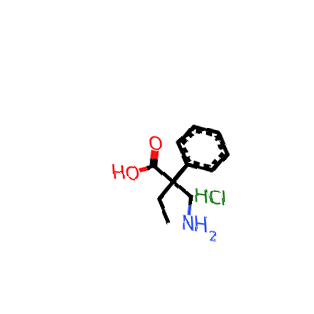 CCC(CN)(C(=O)O)c1ccccc1.Cl